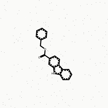 O=C(OCc1ccccc1)c1ccc2c(c1)[nH]c1ccccc12